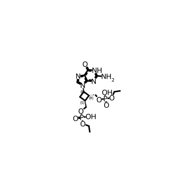 CCOP(=O)(O)OC[C@H]1C[C@@H](n2cnc3c(=O)[nH]c(N)nc32)[C@@H]1COP(=O)(O)OCC